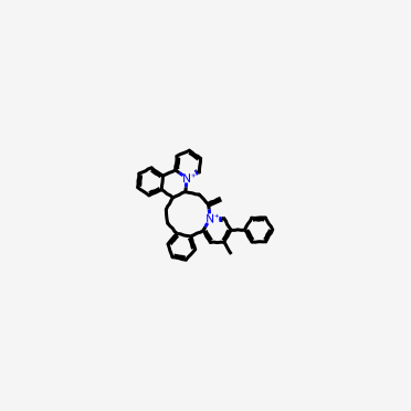 C=C1CC2C(CCc3ccccc3-c3cc(C)c(-c4ccccc4)c[n+]31)c1ccccc1-c1cccc[n+]12